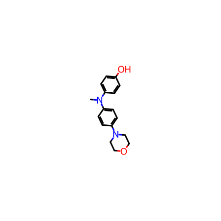 CN(c1ccc(O)cc1)c1ccc(N2CCOCC2)cc1